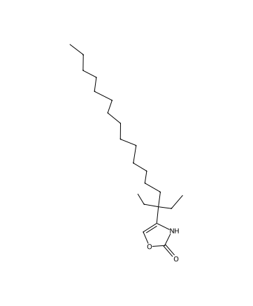 CCCCCCCCCCCCCCC(CC)(CC)c1coc(=O)[nH]1